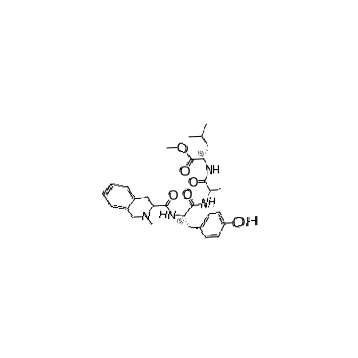 COC(=O)[C@H](CC(C)C)NC(=O)C(C)NC(=O)[C@H](Cc1ccc(O)cc1)NC(=O)C1Cc2ccccc2CN1C